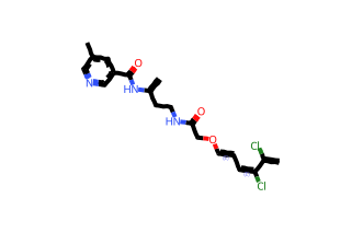 C=C(CCNC(=O)CO/C=C/C=C(/Cl)C(=C)Cl)NC(=O)c1cncc(C)c1